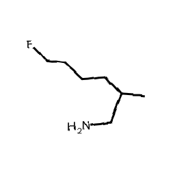 CC(CN)CCCCF